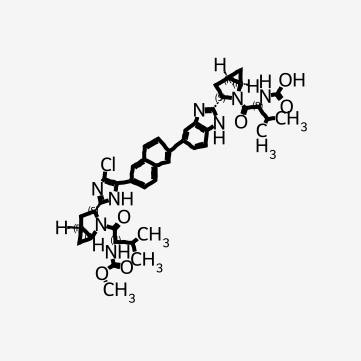 COC(=O)N[C@H](C(=O)N1[C@@H]2C[C@@H]2C[C@H]1c1nc(Cl)c(-c2ccc3cc(-c4ccc5[nH]c([C@@H]6C[C@H]7C[C@H]7N6C(=O)[C@@H](NC(=O)O)C(C)C)nc5c4)ccc3c2)[nH]1)C(C)C